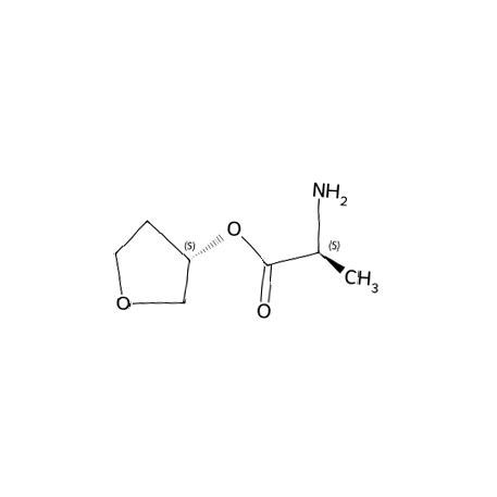 C[C@H](N)C(=O)O[C@H]1CCOC1